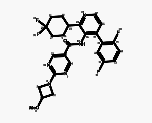 COC1CN(c2ncc(C(=O)Nc3c(-c4cc(F)ccc4F)ccnc3C3CCC(F)(F)CC3)cn2)C1